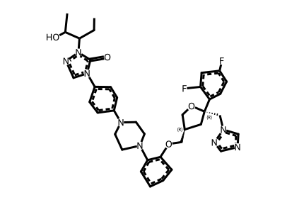 CCC(C(C)O)n1ncn(-c2ccc(N3CCN(c4ccccc4OC[C@H]4CO[C@@](Cn5cncn5)(c5ccc(F)cc5F)C4)CC3)cc2)c1=O